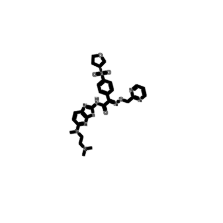 CN(C)CCN(C)c1ccc2nc(NC(=O)/C(=N/OCc3ncccn3)c3ccc(S(=O)(=O)[C@H]4CCOC4)cc3)sc2n1